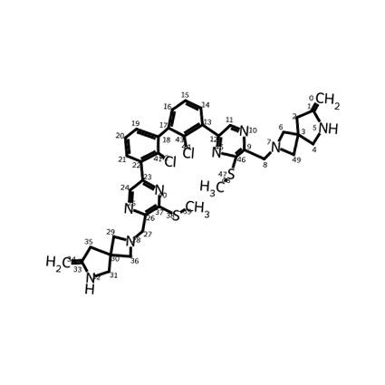 C=C1CC2(CN1)CN(Cc1ncc(-c3cccc(-c4cccc(-c5cnc(CN6CC7(CNC(=C)C7)C6)c(SC)n5)c4Cl)c3Cl)nc1SC)C2